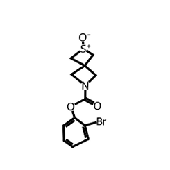 O=C(Oc1ccccc1Br)N1CC2(C1)C[S+]([O-])C2